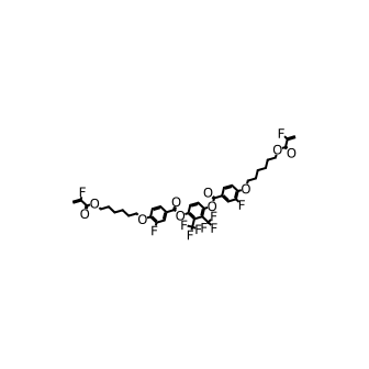 C=C(F)C(=O)OCCCCCCOc1ccc(C(=O)Oc2ccc(OC(=O)c3ccc(OCCCCCCOC(=O)C(=C)F)c(F)c3)c(C(F)(F)F)c2C(F)(F)F)cc1F